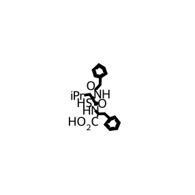 CC(C)C[C@](S)(NC(=O)Cc1ccccc1)C(=O)N[C@@H](Cc1ccccc1)C(=O)O